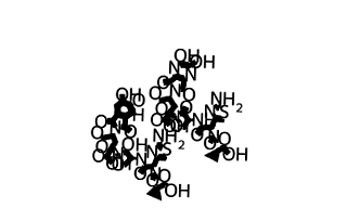 Nc1nc(/C(=N/OC2(C(=O)O)CC2)C(=O)N[C@H]2CON(C3(C(=O)O)C[C@H](N4C(=O)c5cc(O)c(O)cc5C4=O)C(=O)O3)C2=O)cs1.Nc1nc(/C(=N/OC2(C(=O)O)CC2)C(=O)N[C@H]2CON(C3(C(=O)O)C[C@H](N4C(=O)c5nc(O)c(O)nc5C4=O)C(=O)O3)C2=O)cs1